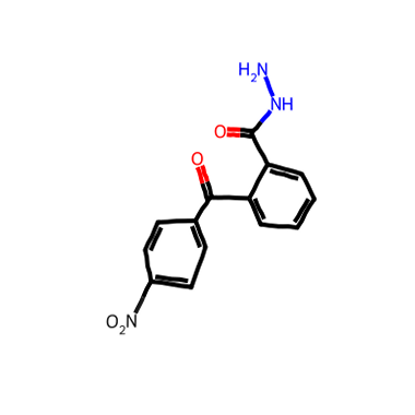 NNC(=O)c1ccccc1C(=O)c1ccc([N+](=O)[O-])cc1